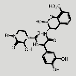 CCN1CCN(C(=O)NC(C(=O)N[C@H]2Cc3cccc(C(=O)O)c3OB2O)c2ccc(O)c(O)c2)C(O)C1=O